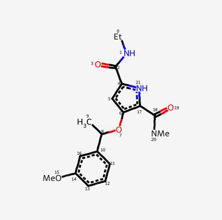 CCNC(=O)c1cc(OC(C)c2cccc(OC)c2)c(C(=O)NC)[nH]1